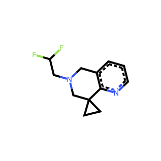 FC(F)CN1Cc2cccnc2C2(CC2)C1